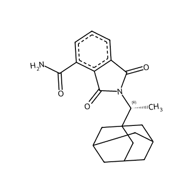 C[C@@H](N1C(=O)c2cccc(C(N)=O)c2C1=O)C12CC3CC(CC(C3)C1)C2